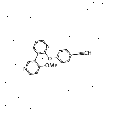 C#Cc1ccc(Oc2ncccc2-c2cnccc2OC)cc1